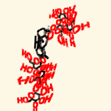 C=C1C[C@@]23CCC4[C@](C)(C(=O)OC5OC(CO)C(O)C(OC6OC(CO)C(O)C(O)C6O)C5OC5OC(CO)C(O)C(O)C5O)CCC[C@@]4(C)[C@@H]2CC[C@]1(OC1OC(CO)C(O)C(OC2OC(COC4OC(CO)C(O)C(O)C4O)C(O)CC2O)C1OC1OC(CO)C(O)C(O)C1O)C3